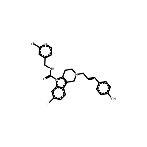 N#Cc1ccc(/C=C/CN2CCc3c(c4ccc(Cl)cc4n3C(=O)NCc3ccnc(Cl)c3)C2)cc1